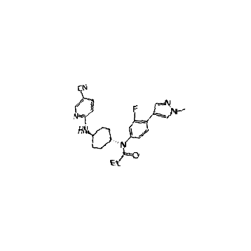 CCC(=O)N(c1ccc(-c2cnn(C)c2)c(F)c1)[C@H]1CC[C@H](Nc2ccc(C#N)cn2)CC1